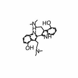 CN(C)CCc1c(-c2[nH]c3cccc(O)c3c2CCN(C)C)[nH]c2cccc(O)c12